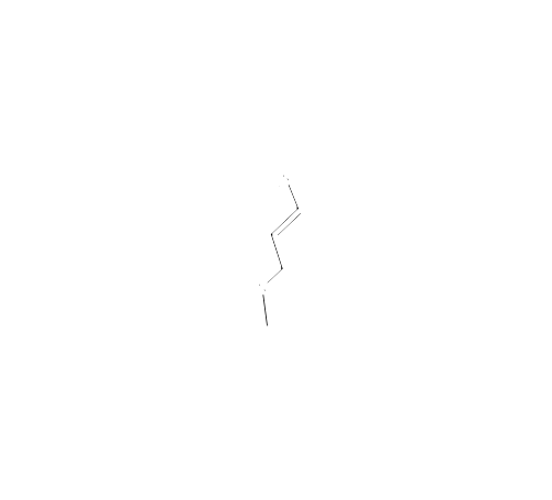 CNCC=CN